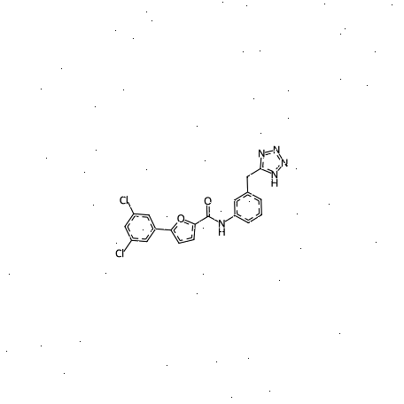 O=C(Nc1cccc(Cc2nnn[nH]2)c1)c1ccc(-c2cc(Cl)cc(Cl)c2)o1